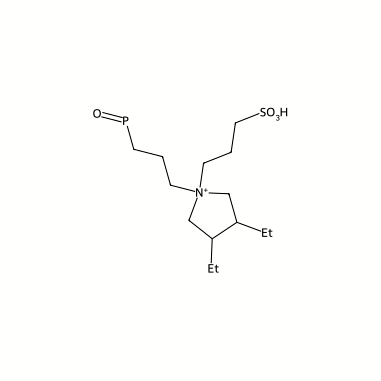 CCC1C[N+](CCCP=O)(CCCS(=O)(=O)O)CC1CC